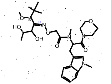 CO[C@H](/C(=N/OCC(=O)N(C)C(Cc1cn(C)c2ccccc12)C(=O)N1CCOCC1)C(O)C(C)O)C(C)(C)C